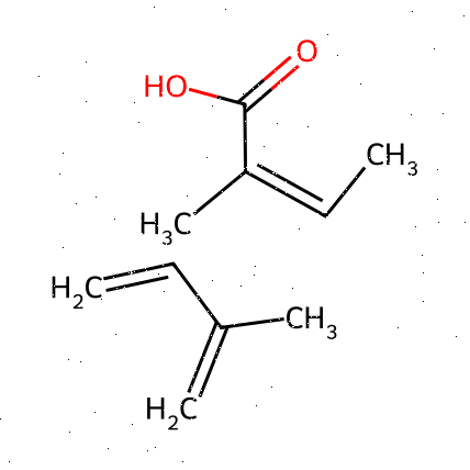 C=CC(=C)C.CC=C(C)C(=O)O